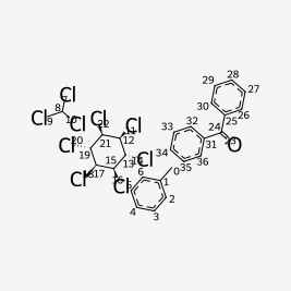 Cc1ccccc1.ClC(Cl)Cl.Cl[C@H]1[C@H](Cl)[C@@H](Cl)[C@@H](Cl)[C@H](Cl)[C@H]1Cl.O=C(c1ccccc1)c1ccccc1